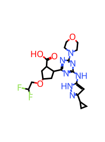 O=C(O)C1CC(OCC(F)F)CC1c1nc(Nc2cc(C3CC3)n[nH]2)nc(N2CCOCC2)n1